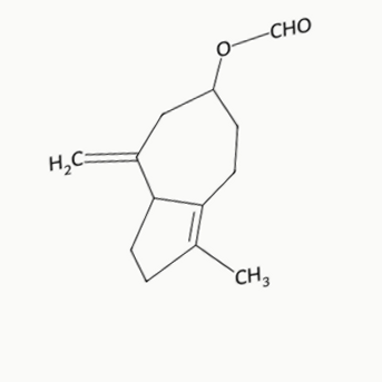 C=C1CC(OC=O)CCC2=C(C)CCC12